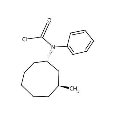 C[C@H]1CCCCC[C@H](N(C(=O)Cl)c2ccccc2)C1